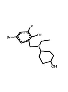 CCN(Cc1cc(Br)cc(Br)c1O)C1CCC(O)CC1